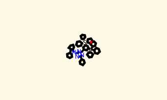 c1ccc(-c2nc(-c3cc([Si](c4ccccc4)(c4ccccc4)c4ccccc4)cc([Si](c4ccccc4)(c4ccccc4)c4ccccc4)c3)nc(-n3c4ccccc4c4ccccc43)n2)cc1